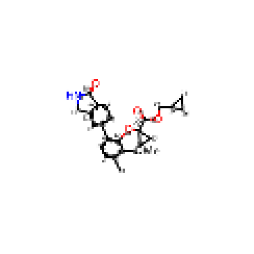 COc1c(C)ccc(-c2ccc3c(c2)CNC3=O)c1OC1(C(=O)OCC2CC2)CC1